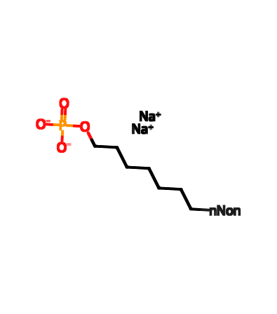 CCCCCCCCCCCCCCCCOP(=O)([O-])[O-].[Na+].[Na+]